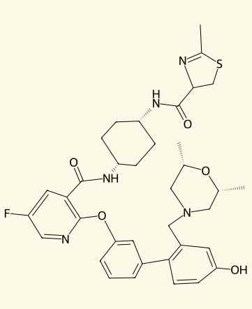 CC1=NC(C(=O)N[C@H]2CC[C@@H](NC(=O)c3cc(F)cnc3Oc3cccc(-c4ccc(O)cc4CN4C[C@@H](C)O[C@@H](C)C4)c3)CC2)CS1